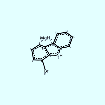 Brc1cccc2c1[nH]c1ccccc12.[MgH2]